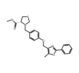 COC(=O)[C@@H]1CSCN1Cc1ccc(OCc2nc(-c3ccccc3)oc2C)cc1